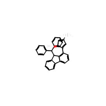 CC1C=C(C(C)(C)C)C=C1c1cccc2c1C(C(c1ccccc1)c1ccccc1)c1ccccc1-2